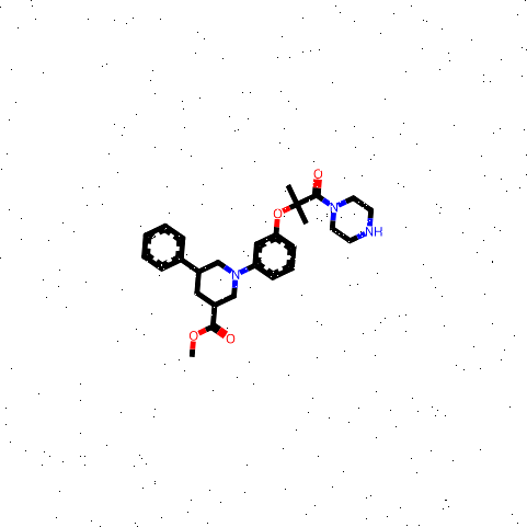 COC(=O)C1CC(c2ccccc2)CN(c2cccc(OC(C)(C)C(=O)N3CCNCC3)c2)C1